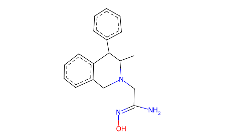 CC1C(c2ccccc2)c2ccccc2CN1CC(N)=NO